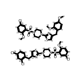 COc1ccc(Cc2csc(N3CCN(S(=O)(=O)c4cc(Cl)ccc4OC)CC3)n2)c(OC)c1.COc1ccc(Cl)cc1S(=O)(=O)N1CCN(c2nc(Cc3ccc(Cl)cc3Cl)cs2)CC1